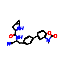 Cn1c(=O)oc2ccc(-c3ccc(CC(C#N)NC(=O)C4CC5CC5N4)cc3)cc21